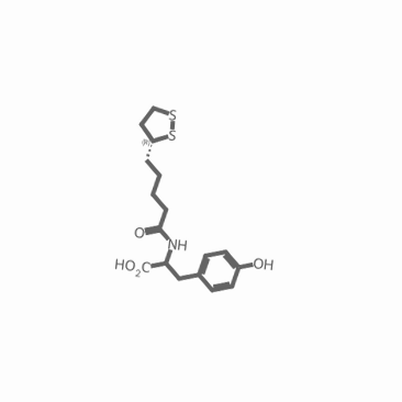 O=C(CCCC[C@@H]1CCSS1)NC(Cc1ccc(O)cc1)C(=O)O